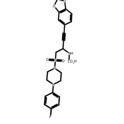 O=C(O)NC(C#Cc1ccc2c(c1)OCO2)CS(=O)(=O)N1CCN(c2ccc(F)cc2)CC1